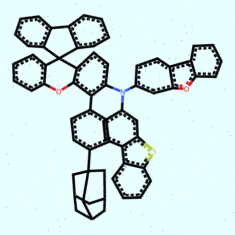 c1ccc2c(c1)Oc1c(ccc(N(c3ccc4c(c3)oc3ccccc34)c3ccc4c(c3)sc3ccccc34)c1-c1ccc(C34CC5CC(CC(C5)C3)C4)cc1)C21c2ccccc2-c2ccccc21